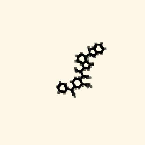 CC1CN(C(=O)c2ccccc2)CCN1C(=O)C(=O)c1c[nH]c2c(-c3cc4ccccc4o3)ccnc12